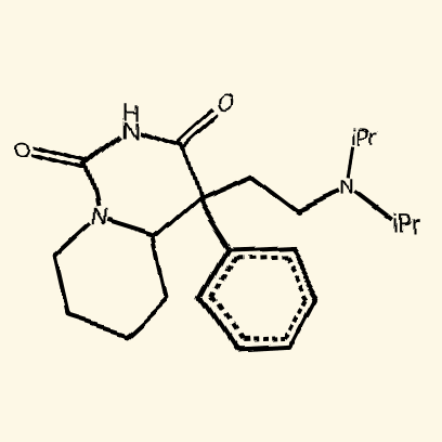 CC(C)N(CCC1(c2ccccc2)C(=O)NC(=O)N2CCCCC21)C(C)C